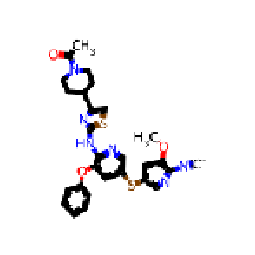 [C-]#[N+]c1ncc(Sc2cnc(Nc3nc(C4CCN(C(C)=O)CC4)cs3)c(Oc3ccccc3)c2)cc1OC